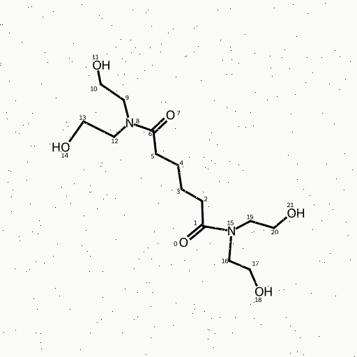 O=C(CCCCC(=O)N(CCO)CCO)N(CCO)CCO